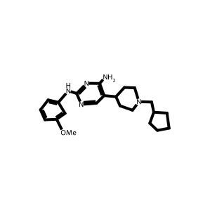 COc1cccc(Nc2ncc(C3CCN(CC4CCCC4)CC3)c(N)n2)c1